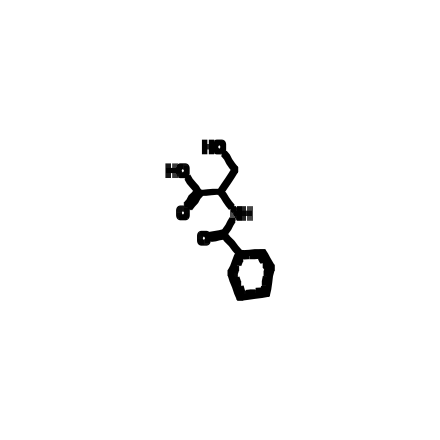 O=C(NC(CO)C(=O)O)c1ccccc1